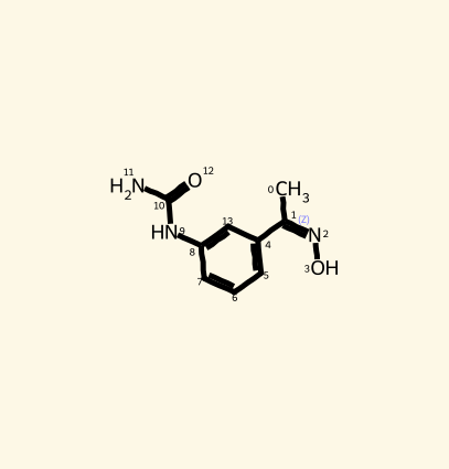 C/C(=N/O)c1cccc(NC(N)=O)c1